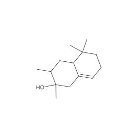 CC1CC2C(=CCCC2(C)C)CC1(C)O